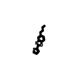 CCCCc1ccc2oc(-c3cccs3)nc2c1